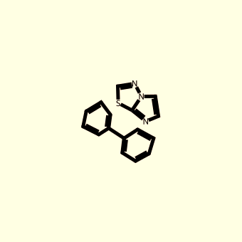 c1ccc(-c2ccccc2)cc1.c1cn2ncsc2n1